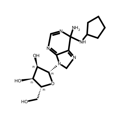 NC1(NC2CCCC2)N=CN=C2C1=NCN2[C@@H]1O[C@H](CO)[C@@H](O)[C@H]1O